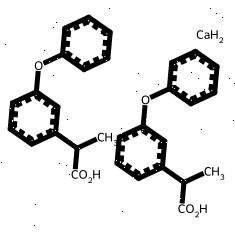 CC(C(=O)O)c1cccc(Oc2ccccc2)c1.CC(C(=O)O)c1cccc(Oc2ccccc2)c1.[CaH2]